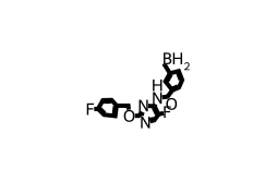 BCc1cccc(C(=O)Nc2nc(OCc3ccc(F)cc3)ncc2F)c1